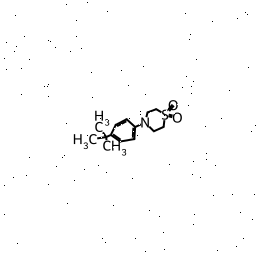 CC(C)(C)c1ccc(N2CCS(=O)(=O)CC2)cc1